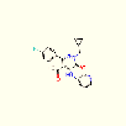 CC(=O)c1c(-c2ccc(F)cc2)nn(CC2CC2)c(=O)c1Nc1cccnc1